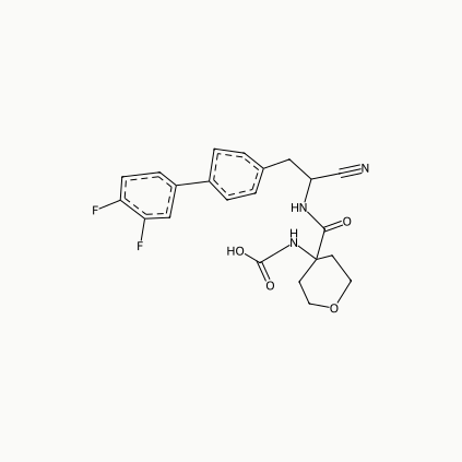 N#CC(Cc1ccc(-c2ccc(F)c(F)c2)cc1)NC(=O)C1(NC(=O)O)CCOCC1